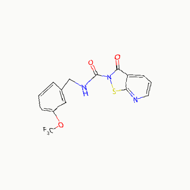 O=C(NCc1cccc(OC(F)(F)F)c1)n1sc2ncccc2c1=O